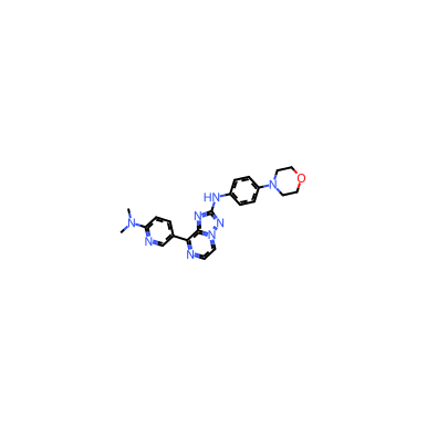 CN(C)c1ccc(-c2nccn3nc(Nc4ccc(N5CCOCC5)cc4)nc23)cn1